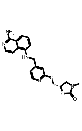 CN1C[C@@H](COc2cc(CNc3cccc4c(N)nccc34)ccn2)OC1=O